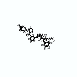 Cc1csc([C@H]2CCCN2C(=O)c2cccc(-c3nnc([C@](C)(N)Cc4ccccc4)o3)c2)n1